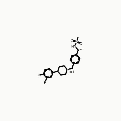 C[C@@H](NS(C)(=O)=O)c1ccc(CN2CCC(c3ccc(F)c(F)c3)CC2)cc1.Cl